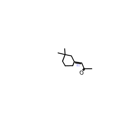 CC(=O)/C=C1\CCCC(C)(C)C1